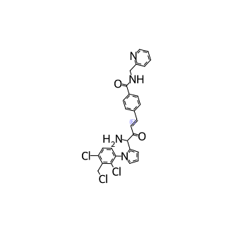 NC(C(=O)/C=C/c1ccc(C(=O)NCc2ccccn2)cc1)c1cccn1-c1ccc(Cl)c(CCl)c1Cl